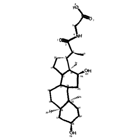 C[C@H](C(=O)NCC(=O)O)[C@H]1CCC2C3CC[C@@H]4C[C@H](O)CC[C@]4(C)C3C[C@H](O)[C@@]21C